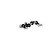 O=C1CCC(N2C(=O)c3ccc(N4CCC(CN5CCC(CO)CC5)CC4)cc3C2=O)C(=O)N1